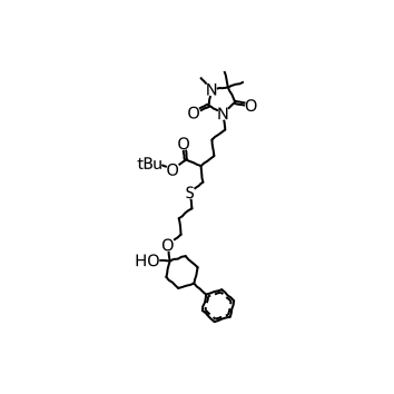 CN1C(=O)N(CCCC(CSCCCOC2(O)CCC(c3ccccc3)CC2)C(=O)OC(C)(C)C)C(=O)C1(C)C